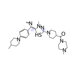 C=N/C(=C(/C)N(C)/N=C(\S)N1CCC(C(=O)N2CCN(C)CC2)CC1)c1ccc(N2CCC(C)CC2)cc1